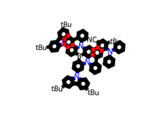 CC(C)(C)c1ccc2c(c1)c1cc(C(C)(C)C)ccc1n2-c1ccc2c(c1)N(c1ccccc1-c1ccccc1)c1cc(-c3cc(N(c4ccccc4)c4ccccc4)c(C(C)(C)C)cc3C#N)cc3c1B2c1ccc(-n2c4ccc(C(C)(C)C)cc4c4cc(C(C)(C)C)ccc42)cc1N3c1ccccc1-c1ccccc1